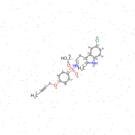 CC#CCOc1ccc(S(=O)(=O)N[C@@H](Cc2c(C)[nH]c3ccc(Cl)cc23)C(=O)O)cc1